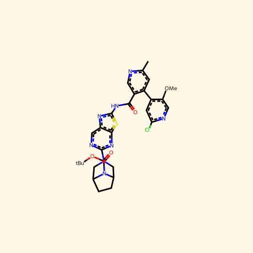 COc1cnc(Cl)cc1-c1cc(C)ncc1C(=O)Nc1nc2cnc(N3CC4CCC(C3)N4C(=O)OC(C)(C)C)nc2s1